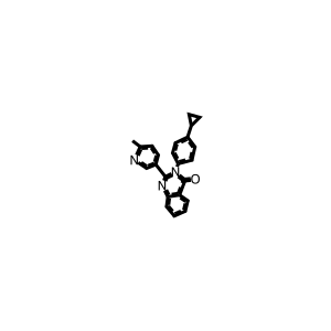 Cc1ccc(-c2nc3ccccc3c(=O)n2-c2ccc(C3CC3)cc2)cn1